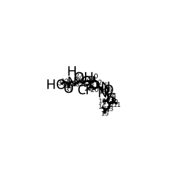 Cc1cc(-c2noc(-c3sc(C)c(CC(C)C)c3C)n2)cc(Cl)c1OC[C@@H](O)CNC(=O)CO